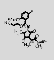 COc1ccc(F)cc1[C@H](C[SH]1C(=O)C([C@H](C)C(=O)N(C)C(C)C)C(=O)C1C)OCCC#N